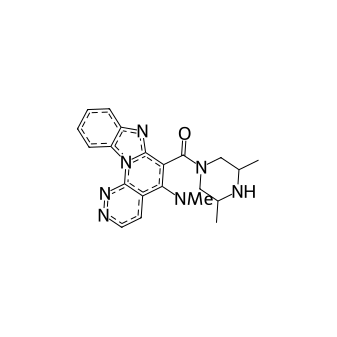 CNc1c(C(=O)N2CC(C)NC(C)C2)c2nc3ccccc3n2c2nnccc12